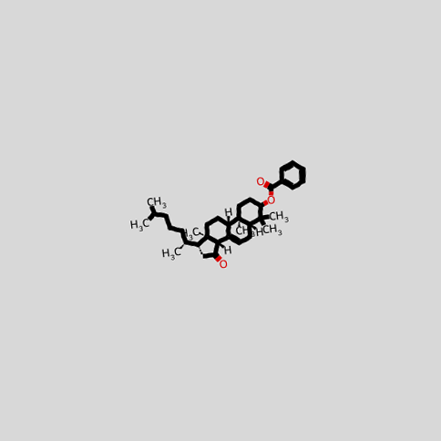 CC(C)CCC[C@@H](C)[C@H]1CC(=O)[C@H]2C3=CC[C@H]4C(C)(C)C(OC(=O)c5ccccc5)CC[C@]4(C)[C@H]3CC[C@@]21C